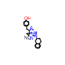 CN(C)C(Cc1ccc(O)cc1)C1(NC(=NC#N)N[C@H]2CCc3ccccc3C2)CC1